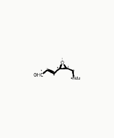 CCCCCC1OC1/C=C/C=O